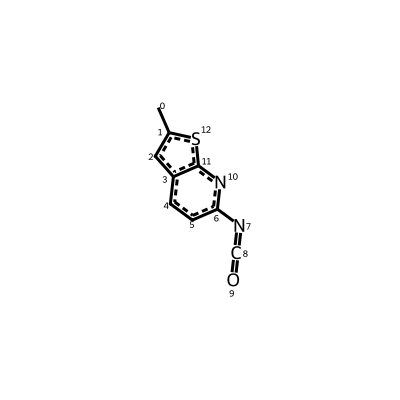 Cc1cc2ccc(N=C=O)nc2s1